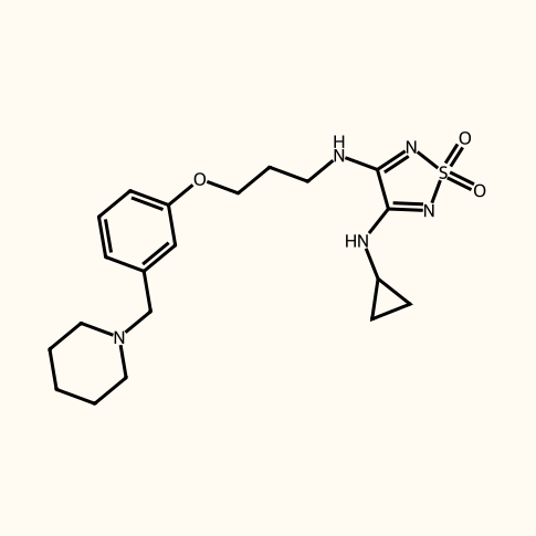 O=S1(=O)N=C(NCCCOc2cccc(CN3CCCCC3)c2)C(NC2CC2)=N1